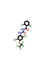 O=C(NC(=O)c1c(F)cccc1F)Nc1cc(Cl)c(SC(F)(F)C(F)F)cc1Cl